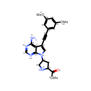 COC(=O)C1CC(n2cc(C#Cc3cc(OC)cc(OC)c3)c3c(N)ncnc32)CN1